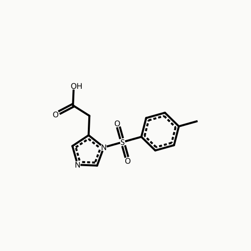 Cc1ccc(S(=O)(=O)n2cncc2CC(=O)O)cc1